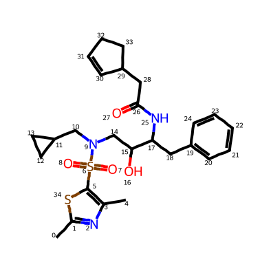 Cc1nc(C)c(S(=O)(=O)N(CC2CC2)CC(O)C(Cc2ccccc2)NC(=O)CC2C=CCC2)s1